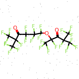 O=C(C(F)(F)C(F)(F)C(F)(F)OC(F)(C(=O)C(F)(C(F)(F)F)C(F)(F)F)C(F)(F)F)C(F)(C(F)(F)F)C(F)(F)F